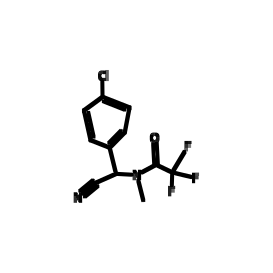 CN(C(=O)C(F)(F)F)C(C#N)c1ccc(Cl)cc1